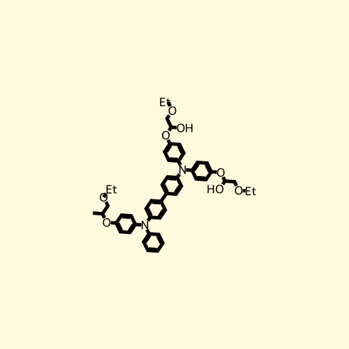 CCOCC(C)Oc1ccc(N(c2ccccc2)c2ccc(-c3ccc(N(c4ccc(OC(O)COCC)cc4)c4ccc(OC(O)COCC)cc4)cc3)cc2)cc1